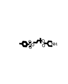 Cc1ccc(S(=O)(=O)OCCCC(C)(C)OC(=O)C2CCNCC2)cc1